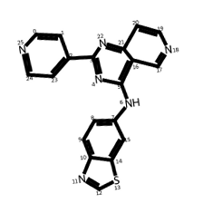 c1cc(-c2nc(Nc3ccc4ncsc4c3)c3cnccc3n2)ccn1